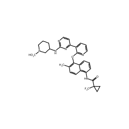 Cc1ccc2c(NC(=O)C3(C(F)(F)F)CC3)cccc2c1Oc1ncccc1-c1ccnc(NC2CCCN(C(=O)O)C2)n1